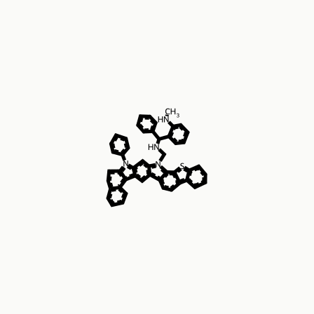 CNc1ccccc1C(NCn1c2cc3c(cc2c2ccc4c5ccccc5sc4c21)c1c2ccccc2ccc1n3-c1ccccc1)c1ccccc1